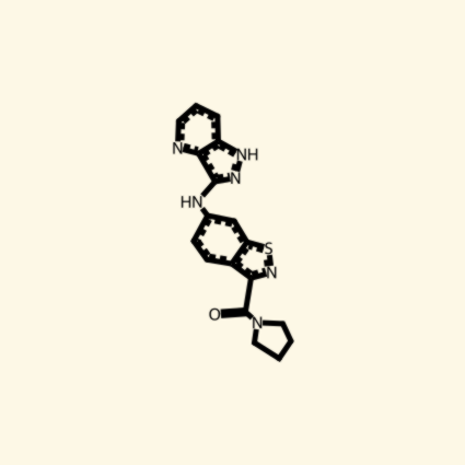 O=C(c1nsc2cc(Nc3n[nH]c4cccnc34)ccc12)N1CCCC1